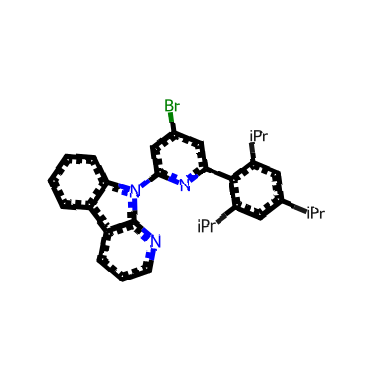 CC(C)c1cc(C(C)C)c(-c2cc(Br)cc(-n3c4ccccc4c4cccnc43)n2)c(C(C)C)c1